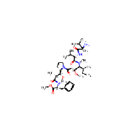 CC[C@H](C)[C@@H]([C@@H](CC(=O)N1CCC[C@H]1[C@H](OC)[C@@H](C)C(=O)N[C@@H](Cc1ccccc1)C(=O)OC)OC)N(C)C(=O)[C@@H](NC(=O)C(C)(N)C(C)C)C(C)C